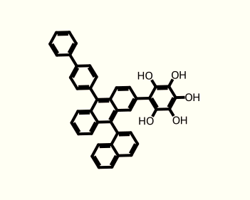 Oc1c(O)c(O)c(-c2ccc3c(-c4ccc(-c5ccccc5)cc4)c4ccccc4c(-c4cccc5ccccc45)c3c2)c(O)c1O